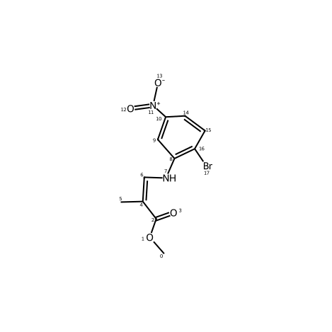 COC(=O)C(C)=CNc1cc([N+](=O)[O-])ccc1Br